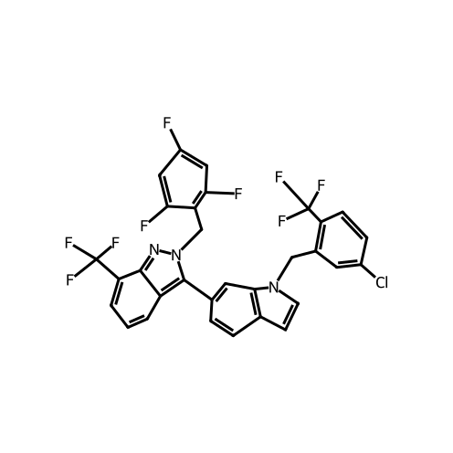 Fc1cc(F)c(Cn2nc3c(C(F)(F)F)cccc3c2-c2ccc3ccn(Cc4cc(Cl)ccc4C(F)(F)F)c3c2)c(F)c1